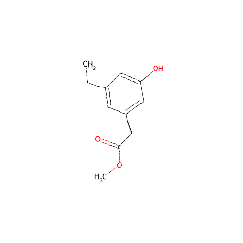 CCc1cc(O)cc(CC(=O)OC)c1